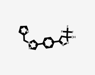 OC1(C(F)(F)F)CC(c2ccc(-c3cnn(Cc4cccs4)c3)cc2)=NO1